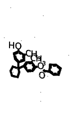 Cc1cc(C2(c3ccc(OC(=O)c4ccccc4)c(C)c3)CCCCC2)ccc1O